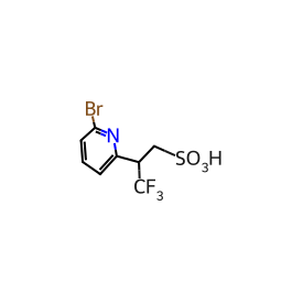 O=S(=O)(O)CC(c1cccc(Br)n1)C(F)(F)F